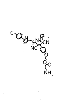 N#Cc1c(SCc2csc(-c3ccc(Cl)cc3)n2)nc(N2CCC2)c(C#N)c1-c1ccc(OCCOC(=O)CCN)cc1